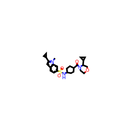 Cn1c(C2CC2)cc2ccc(S(=O)(=O)NC3CCC(C(=O)N4CCOCC4C4CC4)CC3)cc21